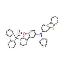 CC1(c2cccc3c2oc2ccc(N(c4ccccc4)c4ccc5c(c4)sc4ccccc45)cc23)c2ccccc2-c2ccccc21